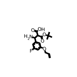 C=CCOc1cc(F)cc(C(N)C(C(=O)O)C(=O)OC(C)(C)C)c1